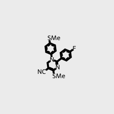 CSC1=C(C#N)CN(c2ccc(SC)cc2)C(c2ccc(F)cc2)=N1